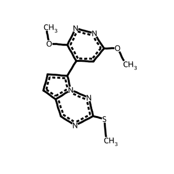 COc1cc(-c2ccc3cnc(SC)nn23)c(OC)nn1